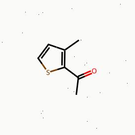 [CH2]c1ccsc1C(C)=O